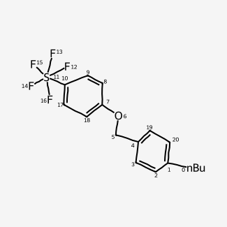 CCCCc1ccc(COc2ccc(S(F)(F)(F)(F)F)cc2)cc1